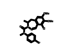 COc1cc2c(c(Cl)c1OC)C=NN(C(=O)N(C)c1ccc(Br)cc1)C(C)C2